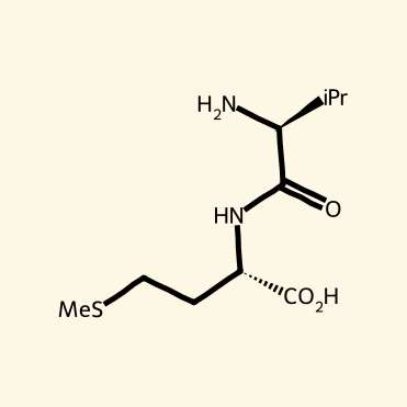 CSCC[C@H](NC(=O)[C@@H](N)C(C)C)C(=O)O